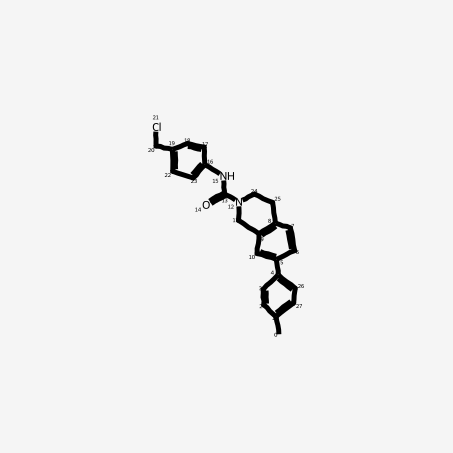 Cc1ccc(-c2ccc3c(c2)CN(C(=O)Nc2ccc(CCl)cc2)CC3)cc1